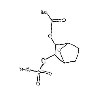 CCC(C)C(=O)OC1C2CCC(O2)C1OS(=O)(=O)NC